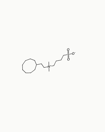 C[N+](C)(CCCCS(=O)(=O)[O-])CCC1CCCCCCCC1